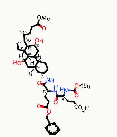 COC(=O)CC[C@@H](C)[C@H]1CC[C@H]2[C@@H]3[C@H](O)C[C@@H]4C[C@@H](NC(=O)[C@H](CCC(=O)OCc5ccccc5)NC(=O)[C@H](CCC(=O)O)NC(=O)OC(C)(C)C)CC[C@]4(C)[C@H]3C[C@H](O)[C@]12C